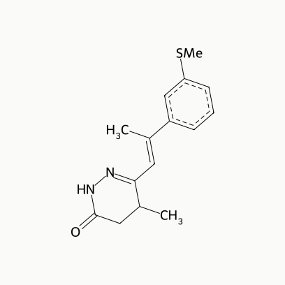 CSc1cccc(C(C)=CC2=NNC(=O)CC2C)c1